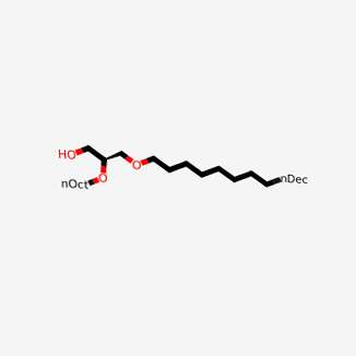 CCCCCCCCCCCCCCCCCCOC[C@H](CO)OCCCCCCCC